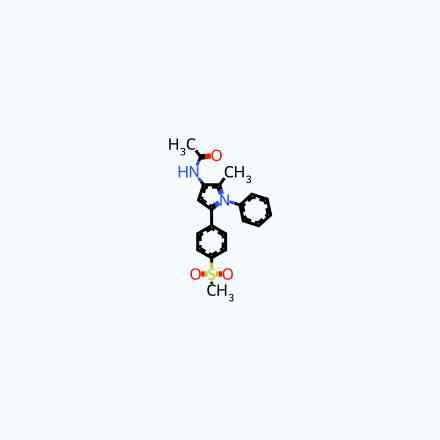 CC(=O)Nc1cc(-c2ccc(S(C)(=O)=O)cc2)n(-c2ccccc2)c1C